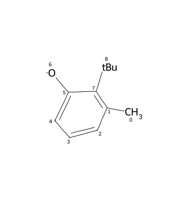 Cc1cccc([O])c1C(C)(C)C